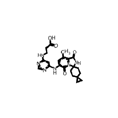 Cc1cc(Nc2cc(NCCC(=O)O)ncn2)c(=O)n2c1C(=O)NC21CCC2(CC2)CC1